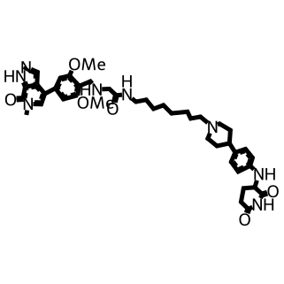 COc1cc(-c2cn(C)c(=O)c3[nH]ncc23)cc(OC)c1CNCC(=O)NCCCCCCCCN1CCC(c2ccc(NC3CCC(=O)NC3=O)cc2)CC1